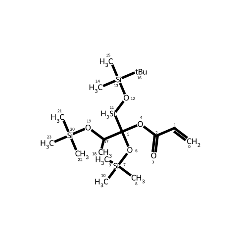 C=CC(=O)OC(O[Si](C)(C)C)([SiH2]O[Si](C)(C)C(C)(C)C)C(C)O[Si](C)(C)C